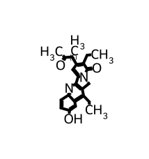 CCc1c([C@H](C)C(C)=O)cc2n(c1=O)Cc1c-2nc2ccc(O)cc2c1CC